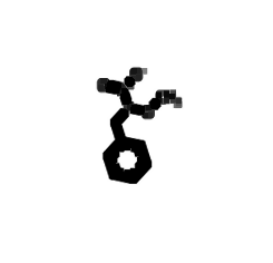 COP(Cc1ccccc1)[N+](=O)[O-]